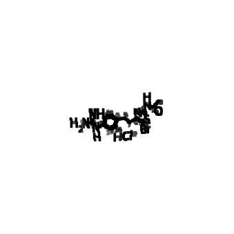 CC(=O)Nc1nc(CCc2ccc(NC(=N)N)cc2)c(Br)s1.Cl